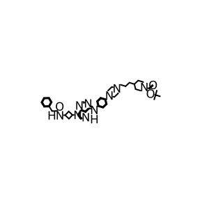 CC(C)(C)OC(=O)N1CCC(CCCN2CCN(c3ccc(Nc4ncnc5c4ncn5C4CC(NC(=O)Cc5ccccc5)C4)cc3)CC2)CC1